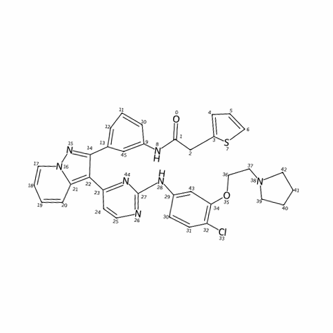 O=C(Cc1cccs1)Nc1cccc(-c2nn3ccccc3c2-c2ccnc(Nc3ccc(Cl)c(OCCN4CCCC4)c3)n2)c1